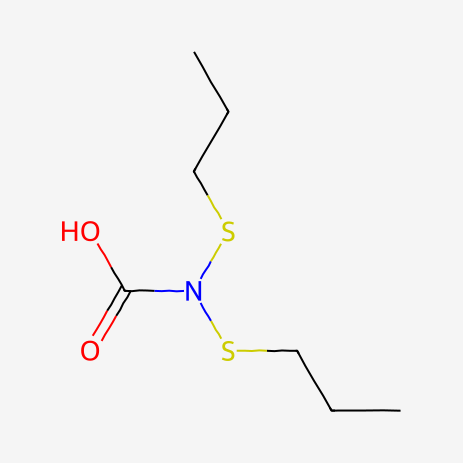 CCCSN(SCCC)C(=O)O